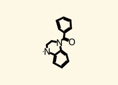 O=C(c1ccccc1)N1CC[N]c2ccccc21